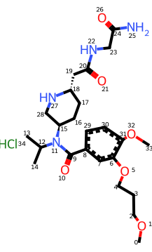 COCCCOc1cc(C(=O)N(C(C)C)[C@@H]2CC[C@@H](CC(=O)NCC(N)=O)NC2)ccc1OC.Cl